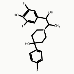 CC(C(O)c1cc(F)c(O)c(F)c1)N1CCC(O)(c2ccc(F)cc2)CC1